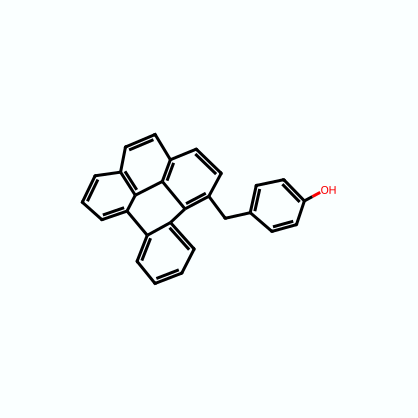 Oc1ccc(Cc2ccc3ccc4cccc5c6ccccc6c2c3c45)cc1